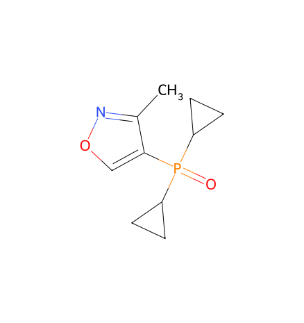 Cc1nocc1P(=O)(C1CC1)C1CC1